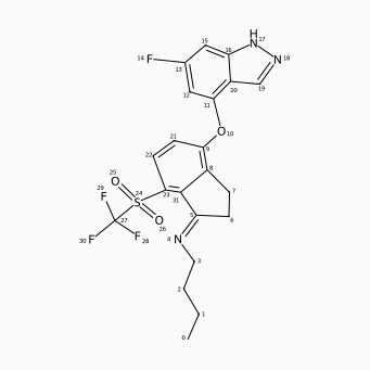 CCCCN=C1CCc2c(Oc3cc(F)cc4[nH]ncc34)ccc(S(=O)(=O)C(F)(F)F)c21